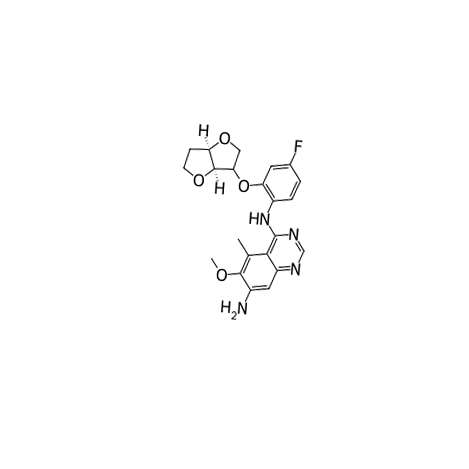 COc1c(N)cc2ncnc(Nc3ccc(F)cc3OC3CO[C@@H]4CCO[C@H]34)c2c1C